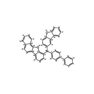 c1ccc(-c2ccc(N(c3ccc4oc5ccccc5c4c3)c3cccc4c3oc3c5cccnc5ccc43)cc2)cc1